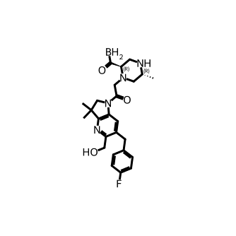 BC(=O)[C@H]1CN[C@H](C)CN1CC(=O)N1CC(C)(C)c2nc(CO)c(Cc3ccc(F)cc3)cc21